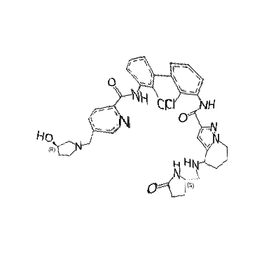 O=C1CC[C@@H](CNC2CCCn3nc(C(=O)Nc4cccc(-c5cccc(NC(=O)c6ccc(CN7CC[C@@H](O)C7)cn6)c5Cl)c4Cl)cc32)N1